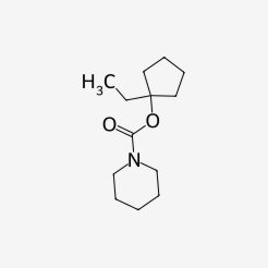 CCC1(OC(=O)N2CCCCC2)CCCC1